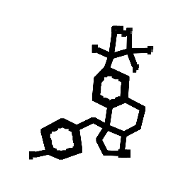 CC(F)(c1ccc2c(c1)CCC1NCCC21Cc1ccc(F)cc1)C(F)(F)F